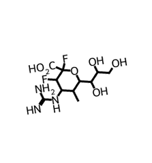 CC1C(NC(=N)N)C(F)C(F)(C(=O)O)OC1C(O)C(O)CO